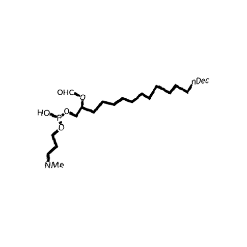 CCCCCCCCCCCCCCCCCCCCCC(COP(O)OCCCNC)OC=O